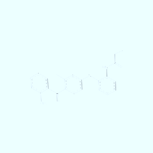 Cc1ccccc1C(=O)c1ccc(Nc2ccccc2NC(=O)CF)cc1Cl